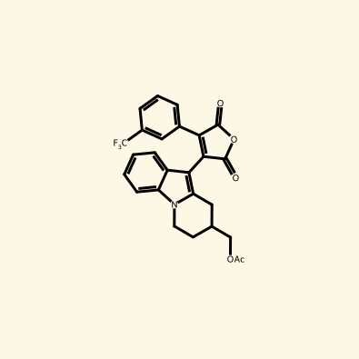 CC(=O)OCC1CCn2c(c(C3=C(c4cccc(C(F)(F)F)c4)C(=O)OC3=O)c3ccccc32)C1